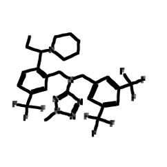 CCC(c1ccc(C(F)(F)F)cc1CN(Cc1cc(C(F)(F)F)cc(C(F)(F)F)c1)c1nnn(C)n1)N1CCCCC1